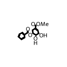 COC(=O)C1=C[C@@H](O)[C@@H](O)[C@H](OC(=O)c2ccccc2)C1